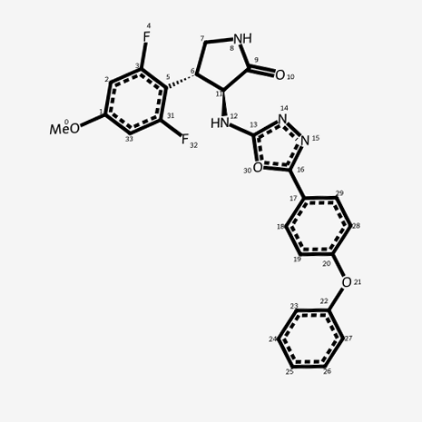 COc1cc(F)c([C@@H]2CNC(=O)[C@H]2Nc2nnc(-c3ccc(Oc4ccccc4)cc3)o2)c(F)c1